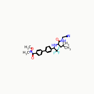 CON(C)C(=O)c1ccc(-c2ccc(C(NC(CC(C)C)C(=O)NCC#N)C(F)(F)F)cc2)cc1